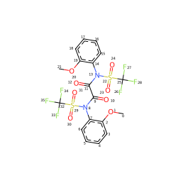 COc1ccccc1N(C(=O)C(=O)N(c1ccccc1OC)S(=O)(=O)C(F)(F)F)S(=O)(=O)C(F)(F)F